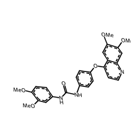 COc1ccc(NC(=O)Nc2ccc(Oc3ccnc4cc(OC)c(OC)cc34)cc2)cc1OC